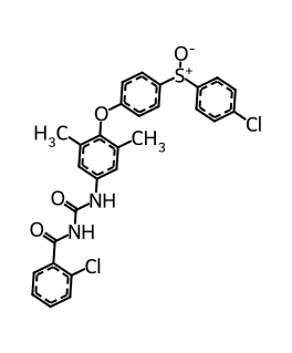 Cc1cc(NC(=O)NC(=O)c2ccccc2Cl)cc(C)c1Oc1ccc([S+]([O-])c2ccc(Cl)cc2)cc1